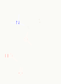 CN(C)C(=S)Oc1ccccc1C(=O)O